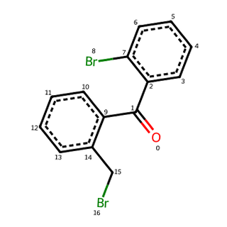 O=C(c1ccccc1Br)c1ccccc1CBr